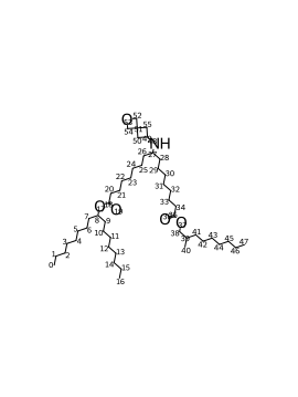 CCCCCCCCC(CCCCCCCC)OC(=O)CCCCCCCC(CCCCCCCC(=O)OCC(C)CCCCCCC)NC1CC2(COC2)C1